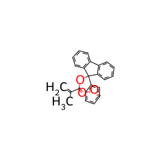 C=C(C)C(=O)OC1(c2cc3ccc2o3)c2ccccc2-c2ccccc21